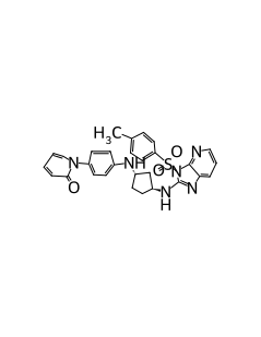 Cc1ccc(S(=O)(=O)n2c(N[C@H]3CC[C@H](Nc4ccc(-n5ccccc5=O)cc4)C3)nc3cccnc32)cc1